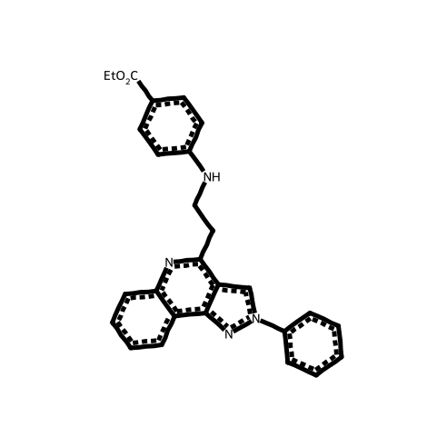 CCOC(=O)c1ccc(NCCc2nc3ccccc3c3nn(-c4ccccc4)cc23)cc1